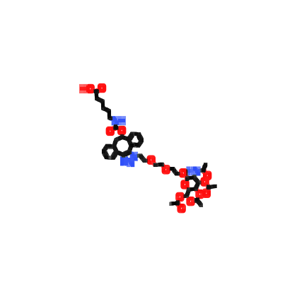 CC(=O)NC1C(OC(C)=O)[C@@H](OC(C)=O)C(COC(C)=O)O[C@H]1OCCOCCOCCn1nnc2c1-c1ccccc1C(OC(=O)NCCCCCC(=O)O)Cc1ccccc1-2